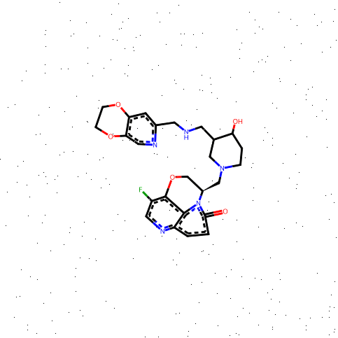 O=c1ccc2ncc(F)c3c2n1[C@H](CN1CCC(O)C(CNCc2cc4c(cn2)OCCO4)C1)CO3